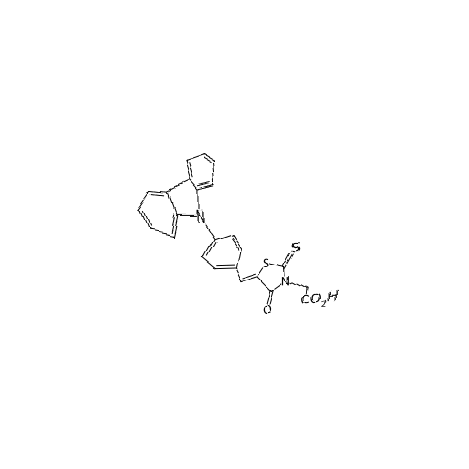 O=C(O)CN1C(=O)/C(=C/c2ccc(-n3c4ccccc4c4ccccc43)cc2)SC1=S